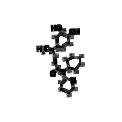 C=C(C#CC(=O)N(c1ccccn1)C1CCCCC1)c1ccc(O)c(O)c1